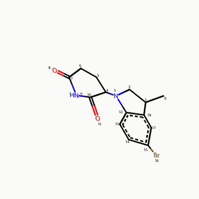 CC1CN(C2CCC(=O)NC2=O)c2ccc(Br)cc21